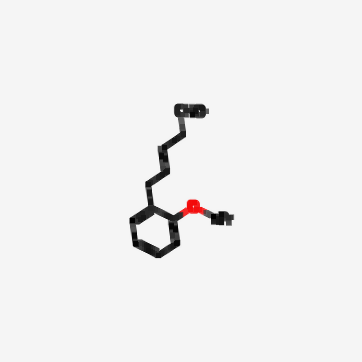 CCCOc1ccccc1C/C=C/C[C]=O